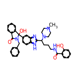 CN1CCN(C(CCCNC(=O)c2ccccc2O)c2nc3cc(C4(O)c5ccccc5C(=O)N4Cc4ccccc4)ccc3[nH]2)CC1